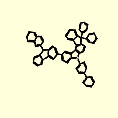 c1ccc(-c2ccc(-n3c4ccc(-c5ccc6c(c5)-c5ccccc5C6c5ccc6ccccc6c5)cc4c4c5c(ccc43)C(c3ccccc3)(c3ccccc3)c3ccccc3-5)cc2)cc1